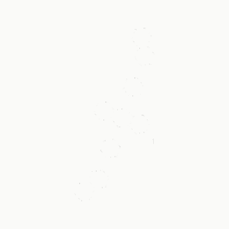 Ic1ccc2c(-c3ccc(-c4ccc5ccccc5c4)cc3)c3ccccc3c(-c3ccc(-c4ccc5ccccc5c4)cc3)c2c1